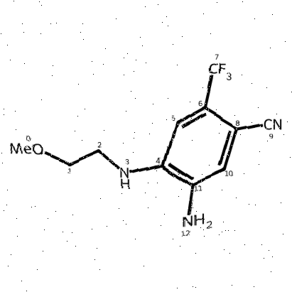 COCCNc1cc(C(F)(F)F)c(C#N)cc1N